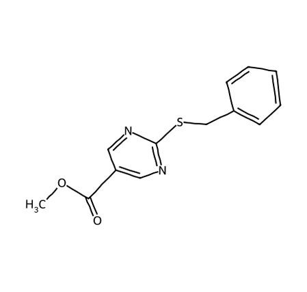 COC(=O)c1cnc(SCc2ccccc2)nc1